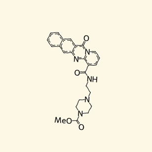 COC(=O)N1CCN(CCNC(=O)c2cccn3c(=O)c4cc5ccccc5cc4nc23)CC1